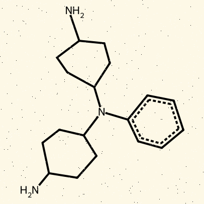 NC1CCC(N(c2ccccc2)C2CCC(N)CC2)CC1